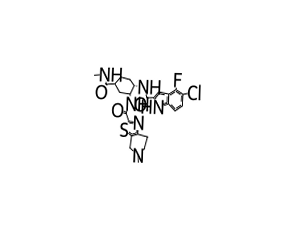 CNC(=O)C1CC[C@H](NC(=O)c2cc3c(F)c(Cl)ccc3[nH]2)[C@H](NC(=O)c2nc3c(s2)CN(C)CC3)C1